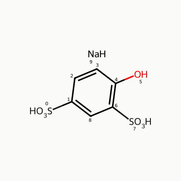 O=S(=O)(O)c1ccc(O)c(S(=O)(=O)O)c1.[NaH]